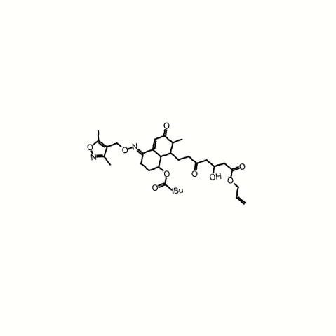 C=CCOC(=O)CC(O)CC(=O)CCC1C(C)C(=O)C=C2C(=NOCc3c(C)noc3C)CCC(OC(=O)C(C)CC)C21